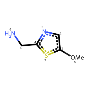 COc1cnc(CN)s1